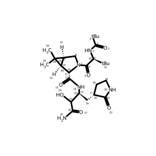 CC(C)(C)C(=O)N[C@H](C(=O)N1C[C@H]2[C@@H]([C@H]1C(=O)N[C@@H](C[C@@H]1CCNC1=O)C(O)C(N)=O)C2(C)C)C(C)(C)C